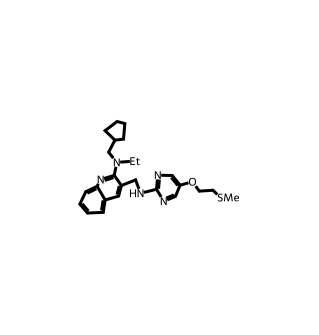 CCN(CC1CCCC1)c1nc2ccccc2cc1CNc1ncc(OCCSC)cn1